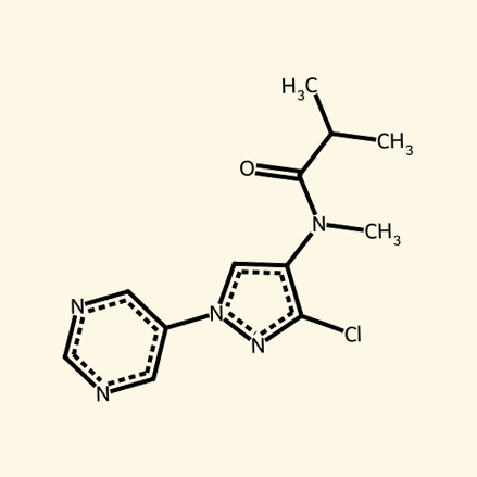 CC(C)C(=O)N(C)c1cn(-c2cncnc2)nc1Cl